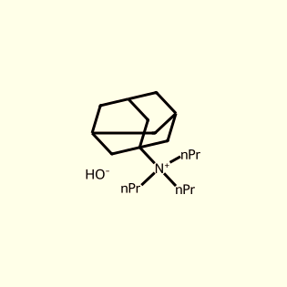 CCC[N+](CCC)(CCC)C12CC3CC(CC(C3)C1)C2.[OH-]